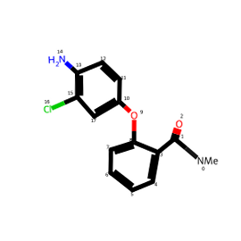 CNC(=O)c1ccccc1Oc1ccc(N)c(Cl)c1